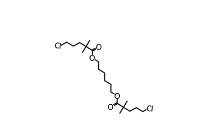 CC(C)(CCCCl)C(=O)OCCCCCCOC(=O)C(C)(C)CCCCl